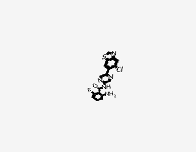 Nc1cccc(F)c1C(=O)Nc1cnc(-c2cc3scnc3cc2Cl)cn1